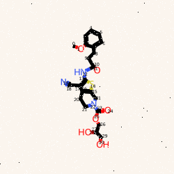 COc1ccccc1CCC(=O)Nc1sc2c(c1C#N)CCN(C(=O)OCC(O)CO)C2